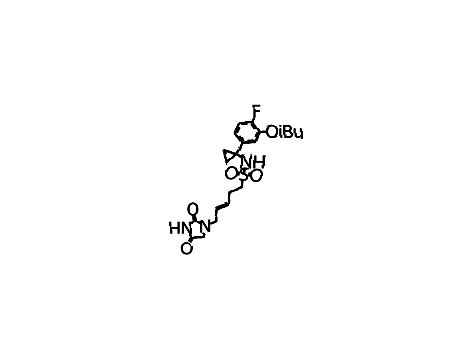 CC(C)COc1cc(C2(NS(=O)(=O)CC/C=C/CN3CC(=O)NC3=O)CC2)ccc1F